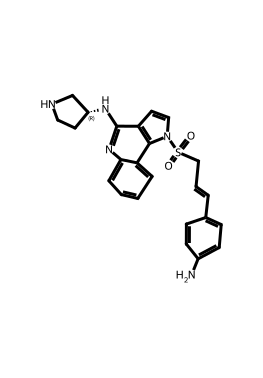 Nc1ccc(C=CCS(=O)(=O)n2ccc3c(N[C@@H]4CCNC4)nc4ccccc4c32)cc1